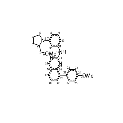 COCC1CCCN1c1cccc(Nc2ncc3cccc(-c4ccc(OC)cc4)c3n2)c1